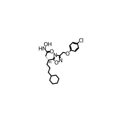 O=C(C[C@@H](CCCC1CCCCC1)c1nc(COc2ccc(Cl)cc2)no1)NO